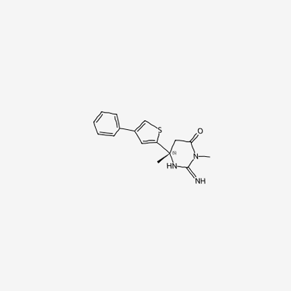 CN1C(=N)N[C@](C)(c2cc(-c3ccccc3)cs2)CC1=O